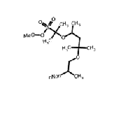 CCCCCCCCCC(C)COC(C)(C)CC(C)OC(C)(C)S(=O)(=O)OOC